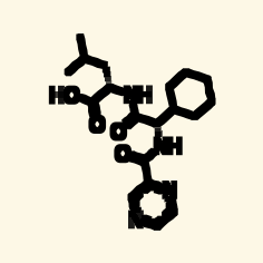 CC(C)C[C@H](NC(=O)[C@@H](NC(=O)c1cnccn1)C1CCCCC1)C(=O)O